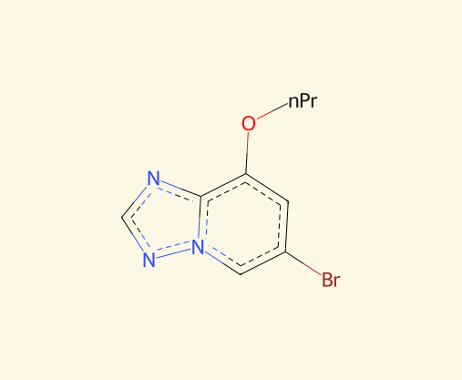 CCCOc1cc(Br)cn2ncnc12